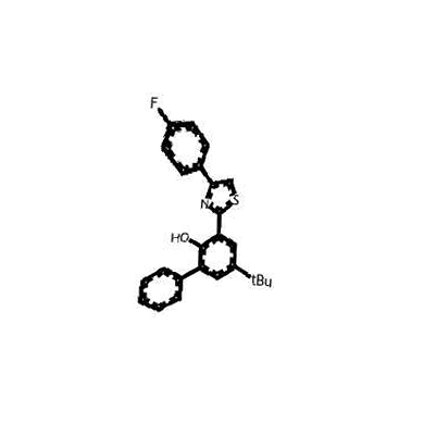 CC(C)(C)c1cc(-c2ccccc2)c(O)c(-c2nc(-c3ccc(F)cc3)cs2)c1